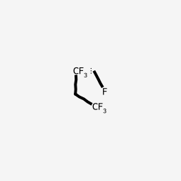 FC(F)(F)CC(F)(F)F.[C]F